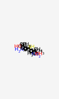 CC(c1cc(C(S)c2ccc(N)c(C(C)C(C)(C)O)c2)ccc1N)C(C)(C)O